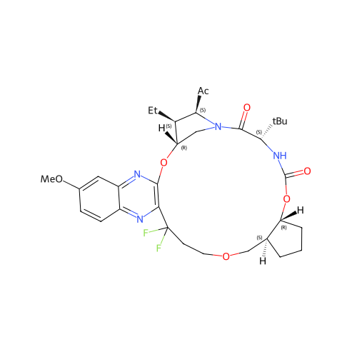 CC[C@@H]1[C@@H]2CN(C(=O)[C@H](C(C)(C)C)NC(=O)O[C@@H]3CCC[C@H]3COCCC(F)(F)c3nc4ccc(OC)cc4nc3O2)[C@@H]1C(C)=O